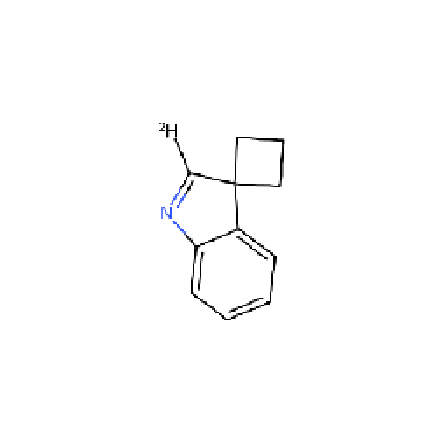 [2H]C1=Nc2ccccc2C12CCC2